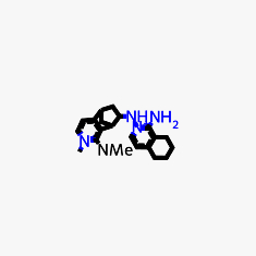 CNc1c2c(cc[n+]1C)C1CC(N[n+]3ccc4c(c3N)CCCC4)C2C1